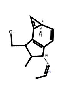 C/C=C\[C@H]1C2=C(C3=C[C@H]3C=C2)C(CO)C1C